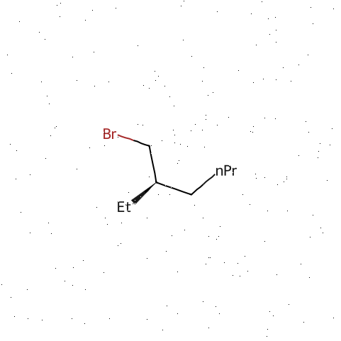 CCCC[C@@H](CC)CBr